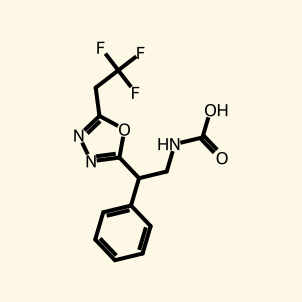 O=C(O)NCC(c1ccccc1)c1nnc(CC(F)(F)F)o1